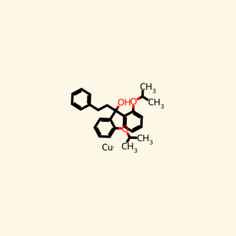 CC(C)Oc1ccccc1C(O)(CCc1ccccc1)c1ccccc1OC(C)C.[Cu]